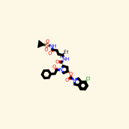 CC[C@H](CCC(=O)NS(=O)(=O)C1CC1)NC(=O)[C@@H]1C[C@@H](OC(=O)N2Cc3cccc(Cl)c3C2)CN1C(=O)CC1CCCCC1